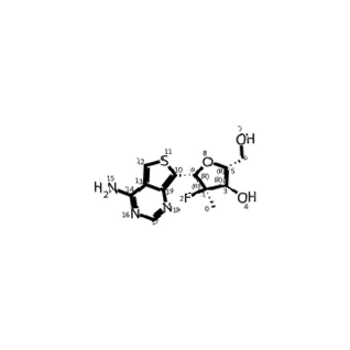 C[C@@]1(F)[C@H](O)[C@@H](CO)O[C@H]1c1scc2c(N)ncnc12